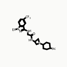 CCn1nc(NCC(=O)NC2CN(C3CCC(C(C)=O)CC3)C2)c2cc(C(F)(F)F)ccc21